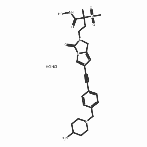 CC(CCN1Cc2cc(C#Cc3ccc(CN4CCC(N)CC4)cc3)cn2C1=O)(C(=O)NO)S(C)(=O)=O.Cl.Cl